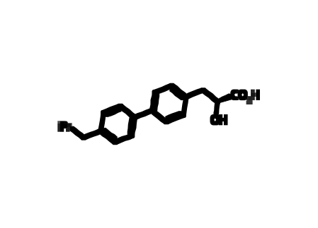 CC(C)Cc1ccc(-c2ccc(C[C@H](O)C(=O)O)cc2)cc1